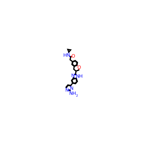 Nc1nccc(-c2ccc3[nH]c(C4COc5ccc(CC(=O)NC6CC6)cc5C4)nc3c2)n1